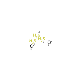 S.S.S.[Cr].[Cr]